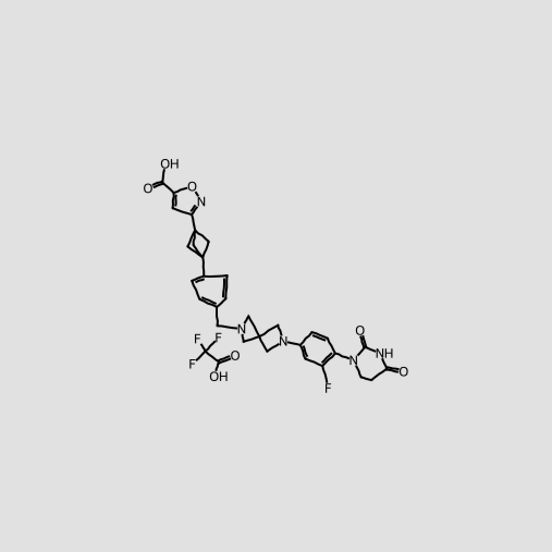 O=C(O)C(F)(F)F.O=C1CCN(c2ccc(N3CC4(CN(Cc5ccc(C67CC(c8cc(C(=O)O)on8)(C6)C7)cc5)C4)C3)cc2F)C(=O)N1